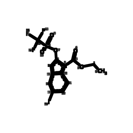 CCOC(=O)n1c(OS(=O)(=O)C(F)(F)F)cc2cc(I)ccc21